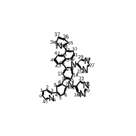 c1ccc(-c2ccc3c(c2)c2cc4c(cc2n3-c2cncnc2)N(c2cncnc2)c2ccc(-c3ccccn3)c3cccc-4c23)nc1